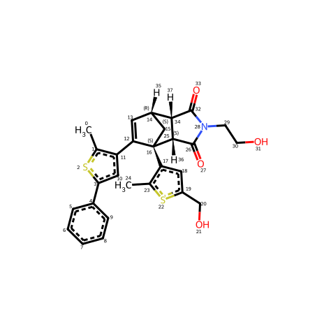 Cc1sc(-c2ccccc2)cc1C1=C[C@H]2C[C@]1(c1cc(CO)sc1C)[C@H]1C(=O)N(CCO)C(=O)[C@@H]21